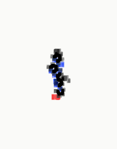 OC1CCN(c2cc(C(F)(F)F)c(-c3cnc4c(Nc5ccc(C(F)(F)F)cn5)ccnc4n3)nn2)C1